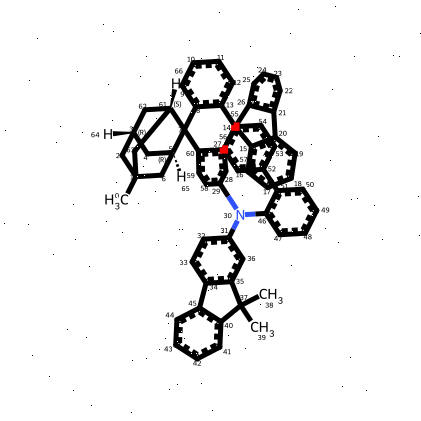 CC12C[C@H]3C[C@H](C1)C1(c4ccccc4C4(c5ccccc5-c5ccccc54)c4cc(N(c5ccc6c(c5)C(C)(C)c5ccccc5-6)c5ccccc5-c5ccccc5)ccc41)[C@@H](C3)C2